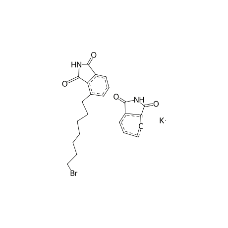 O=C1NC(=O)c2c(CCCCCCCBr)cccc21.O=C1NC(=O)c2ccccc21.[K]